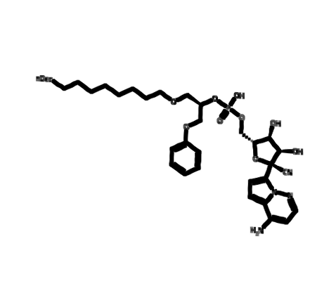 CCCCCCCCCCCCCCCCCCOC[C@H](COc1ccccc1)OP(=O)(O)OC[C@H]1O[C@@](C#N)(c2ccc3c(N)ccnn23)[C@H](O)[C@@H]1O